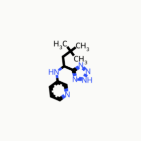 CC(C)(C)CC(Nc1cccnc1)c1nn[nH]n1